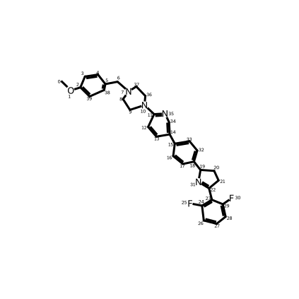 COc1ccc(CN2CCN(c3ccc(-c4ccc(C5CCC(c6c(F)cccc6F)=N5)cc4)cn3)CC2)cc1